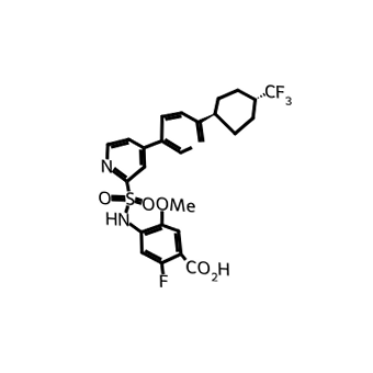 C=C(/C=C\C(=C/C)c1ccnc(S(=O)(=O)Nc2cc(F)c(C(=O)O)cc2OC)c1)[C@H]1CC[C@H](C(F)(F)F)CC1